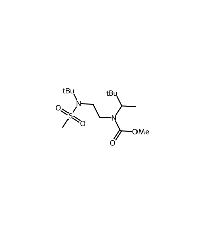 COC(=O)N(CCN(C(C)(C)C)S(C)(=O)=O)C(C)C(C)(C)C